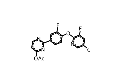 CC(=O)Oc1ccnc(-c2ccc(Oc3ncc(Cl)cc3F)c(F)c2)n1